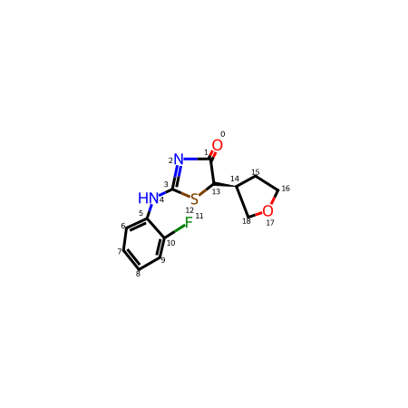 O=C1N=C(Nc2ccccc2F)SC1[C@H]1CCOC1